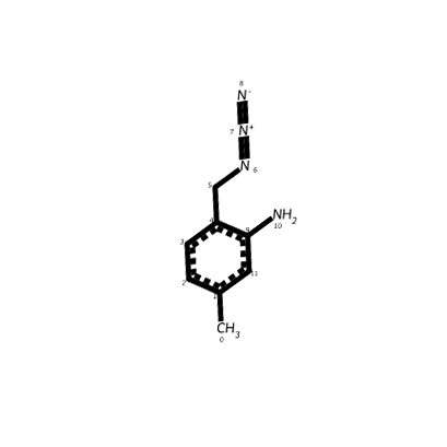 Cc1ccc(CN=[N+]=[N-])c(N)c1